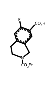 CCOC(=O)N1CCc2cc(F)c(C(=O)O)cc2C1